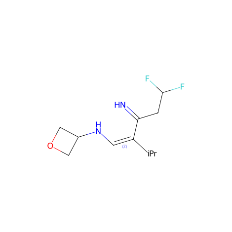 CC(C)/C(=C/NC1COC1)C(=N)CC(F)F